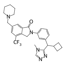 Cn1cnnc1C(c1cccc(N2Cc3c(cc(CN4CCCCC4)cc3C(F)(F)F)C2=O)c1)C1CCC1